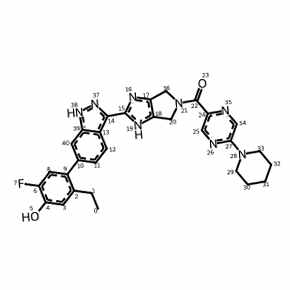 CCc1cc(O)c(F)cc1-c1ccc2c(-c3nc4c([nH]3)CN(C(=O)c3cnc(N5CCCCC5)cn3)C4)n[nH]c2c1